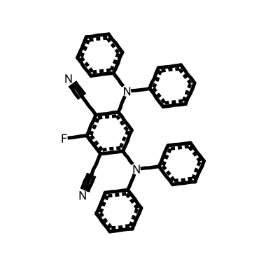 N#Cc1c(N(c2ccccc2)c2ccccc2)cc(N(c2ccccc2)c2ccccc2)c(C#N)c1F